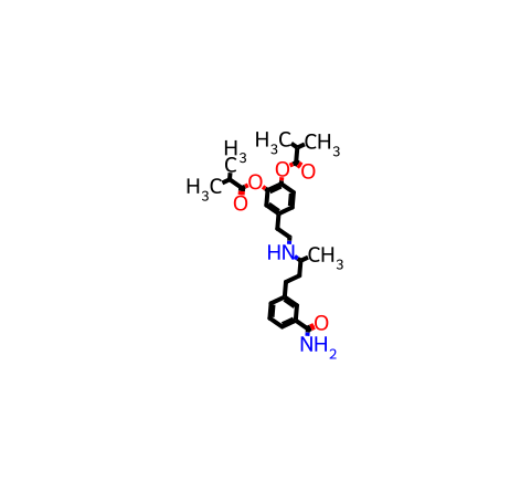 CC(CCc1cccc(C(N)=O)c1)NCCc1ccc(OC(=O)C(C)C)c(OC(=O)C(C)C)c1